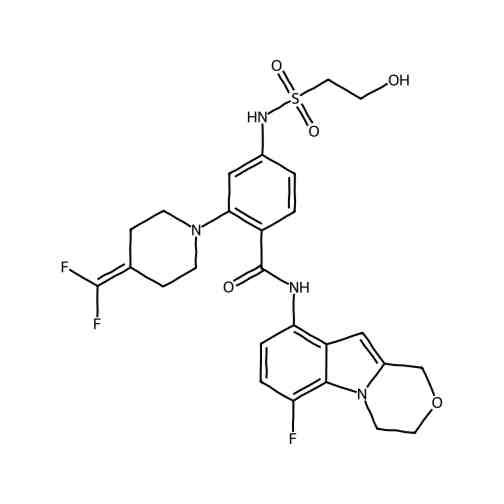 O=C(Nc1ccc(F)c2c1cc1n2CCOC1)c1ccc(NS(=O)(=O)CCO)cc1N1CCC(=C(F)F)CC1